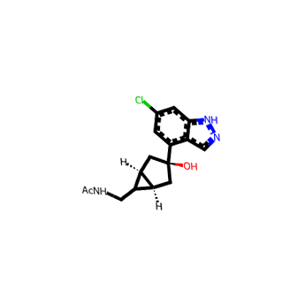 CC(=O)NCC1[C@H]2C[C@](O)(c3cc(Cl)cc4[nH]ncc34)C[C@@H]12